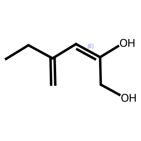 C=C(/C=C(/O)CO)CC